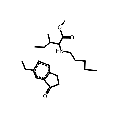 CCCCCNC(C(=O)OC)C(C)CC.CCc1ccc2c(c1)C(=O)CC2